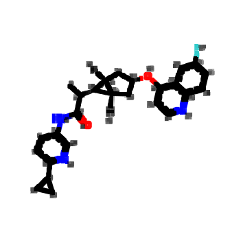 CC(C(=O)Nc1ccc(C2CC2)nc1)[C@H]1[C@@H]2C[C@H](Oc3ccnc4ccc(F)cc34)C[C@@H]21